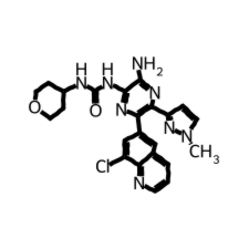 Cn1ccc(-c2nc(N)c(NC(=O)NC3CCOCC3)nc2-c2cc(Cl)c3ncccc3c2)n1